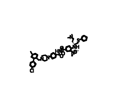 C=[N+]([O-])c1cc(S(=O)(=O)NC(=O)c2ccc(N3CCN(Cc4ccc(C)cc4-c4ccc(Cl)cc4)CC3)cc2)ccc1N[C@H](CCN(C)C)CSc1ccccc1